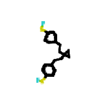 FSc1ccc(CCC2(CCc3ccc(SF)cc3)CC2)cc1